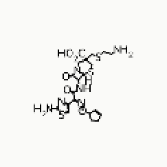 NCCSCC1(C(=O)O)CS[C@@H]2C(NC(=O)C(=NOC3C=CCC3)c3csc(N)n3)C(=O)N2C1